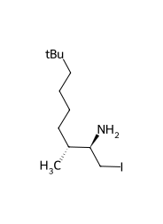 C[C@H](CCCCC(C)(C)C)[C@@H](N)CI